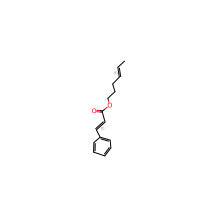 C/C=C/CCCOC(=O)/C=C/c1ccccc1